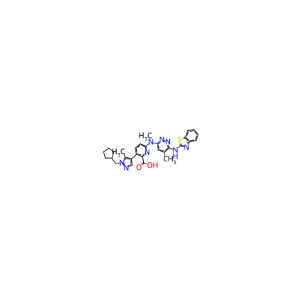 Cc1cc(N(C)c2ccc(-c3cnn(CC4CCCC4)c3C)c(C(=O)O)n2)nnc1Nc1nc2ccccc2s1